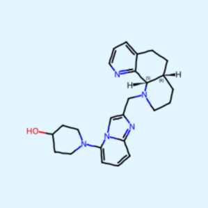 OC1CCN(c2cccc3nc(CN4CCC[C@H]5CCc6cccnc6[C@H]54)cn23)CC1